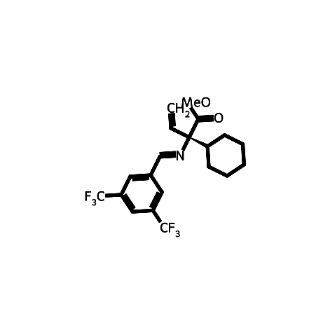 C=C[C@@](N=Cc1cc(C(F)(F)F)cc(C(F)(F)F)c1)(C(=O)OC)C1CCCCC1